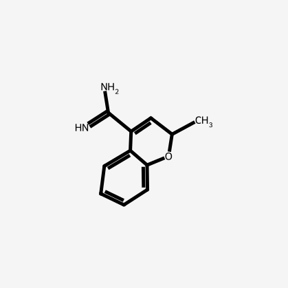 CC1C=C(C(=N)N)c2ccccc2O1